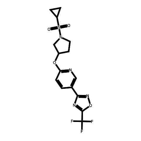 O=S(=O)(C1CC1)N1CCC(Oc2ccc(-c3noc(C(F)(F)F)n3)cn2)C1